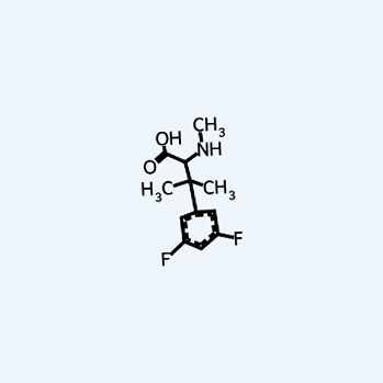 CNC(C(=O)O)C(C)(C)c1cc(F)cc(F)c1